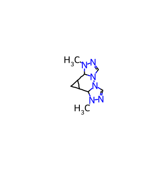 CN1N=CN2C1C1CC1C1N(C)N=CN12